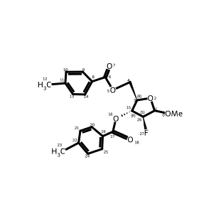 COC1O[C@H](COC(=O)c2ccc(C)cc2)[C@@H](OC(=O)c2ccc(C)cc2)[C@@H]1F